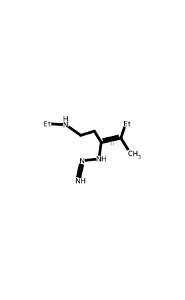 CCNCC/C(NN=N)=C(/C)CC